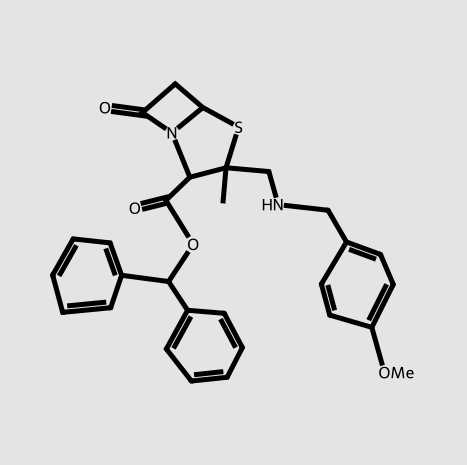 COc1ccc(CNCC2(C)SC3CC(=O)N3C2C(=O)OC(c2ccccc2)c2ccccc2)cc1